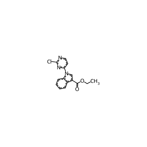 CCOC(=O)c1cn(-c2ccnc(Cl)n2)c2ccccc12